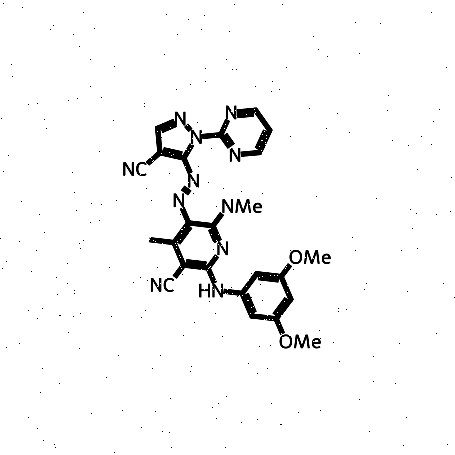 CNc1nc(Nc2cc(OC)cc(OC)c2)c(C#N)c(C)c1/N=N/c1c(C#N)cnn1-c1ncccn1